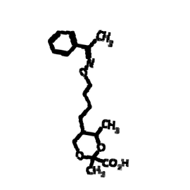 CC(=NOCCCCC1COC(C)(C(=O)O)OC1C)c1ccccc1